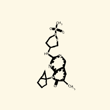 Cc1cc2cnc(NC3CCN(S(C)(=O)=O)CC3)nc2n(C23CCCC2C3)c1=O